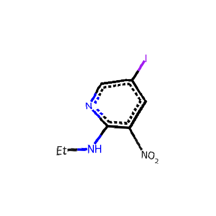 CCNc1ncc(I)cc1[N+](=O)[O-]